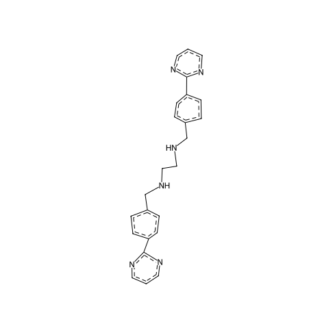 c1cnc(-c2ccc(CNCCNCc3ccc(-c4ncccn4)cc3)cc2)nc1